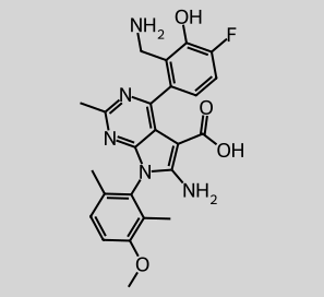 COc1ccc(C)c(-n2c(N)c(C(=O)O)c3c(-c4ccc(F)c(O)c4CN)nc(C)nc32)c1C